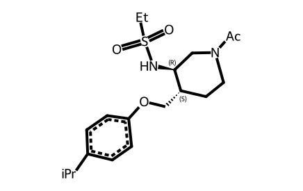 CCS(=O)(=O)N[C@H]1CN(C(C)=O)CC[C@@H]1COc1ccc(C(C)C)cc1